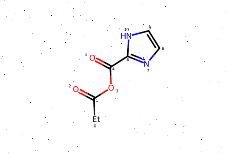 CCC(=O)OC(=O)c1ncc[nH]1